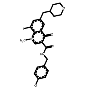 Cn1cc(C(=O)NCc2ccc(Cl)cc2)c(=O)c2cc(CC3CCOCC3)cc(I)c21